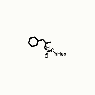 CCCCCCO[PH](=O)CC(C)CC1CCCCC1